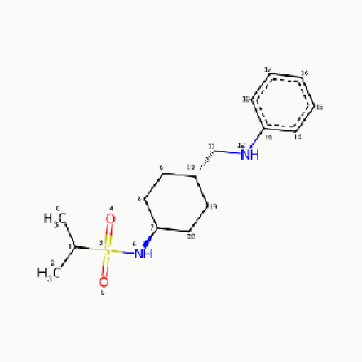 CC(C)S(=O)(=O)N[C@H]1CC[C@H](CNc2ccccc2)CC1